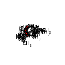 CCCC(=O)OCCN(CCC(P(=O)(O)O)P(=O)(O)O)CC(=O)O[C@@H]1[C@@H](C)[C@@H](O)[C@@H](C)[C@H](C)[C@H](C)[C@@H](C)/C=C/O[C@@]2(C)Oc3c(C)c(O)c4c(c3C2=O)C2=NC3(CCN(CC(C)C)CC3)NC2=C(NC(=O)/C(C)=C\C=C\[C@@H]1C)C4=O